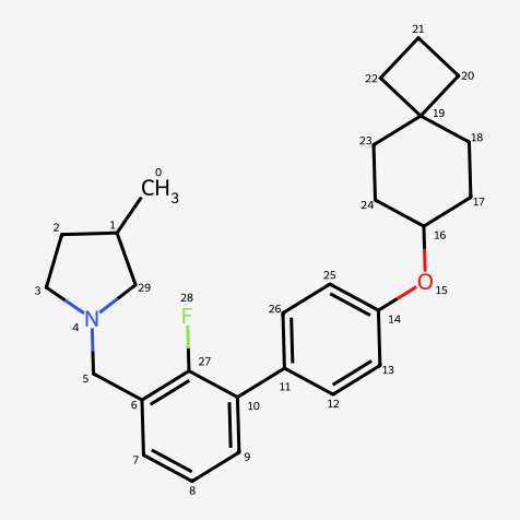 CC1CCN(Cc2cccc(-c3ccc(OC4CCC5(CCC5)CC4)cc3)c2F)C1